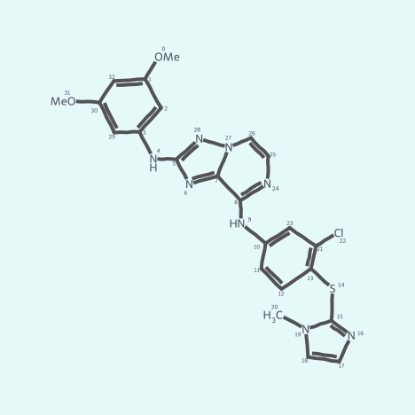 COc1cc(Nc2nc3c(Nc4ccc(Sc5nccn5C)c(Cl)c4)nccn3n2)cc(OC)c1